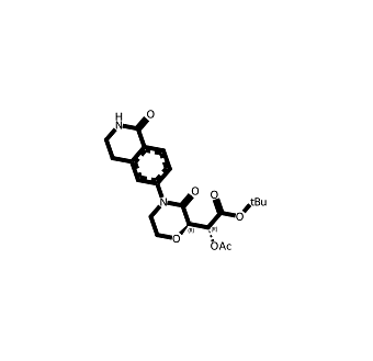 CC(=O)O[C@@H](C(=O)OC(C)(C)C)[C@H]1OCCN(c2ccc3c(c2)CCNC3=O)C1=O